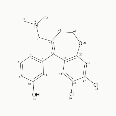 CN(C)CC1=C(c2cccc(O)c2)c2cc(Cl)c(Cl)cc2OCC1